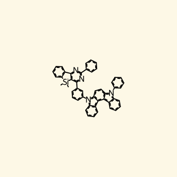 C[Si]1(C)c2ccccc2-c2nc(-c3ccccc3)nc(-c3cccc(-n4c5ccccc5c5c6c7ccccc7n(-c7ccccc7)c6ccc54)c3)c21